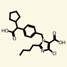 CCCCc1nc(Cl)c(C(=O)O)n1Cc1ccc(C(C(=O)O)C2CCCC2)cc1